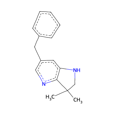 CC1(C)CNc2cc(Cc3ccccc3)cnc21